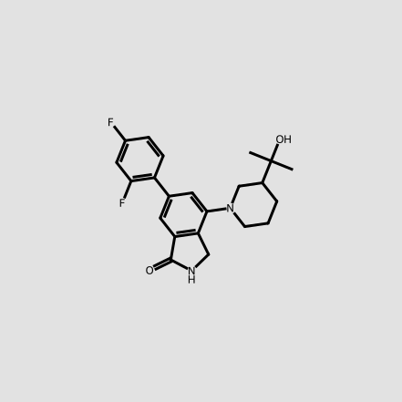 CC(C)(O)C1CCCN(c2cc(-c3ccc(F)cc3F)cc3c2CNC3=O)C1